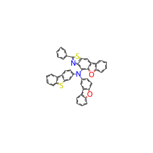 c1ccc(-c2nc3c(N(c4ccc5c(c4)sc4ccccc45)c4ccc5oc6ccccc6c5c4)c4oc5ccccc5c4cc3s2)cc1